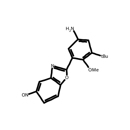 COc1c(-c2nc3cc(N=O)ccc3o2)cc(N)cc1C(C)(C)C